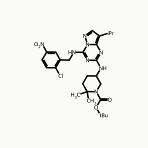 CC(C)c1cnn2c(NCc3cc([N+](=O)[O-])ccc3Cl)nc(NC3CCC(C)(C)N(C(=O)OC(C)(C)C)C3)nc12